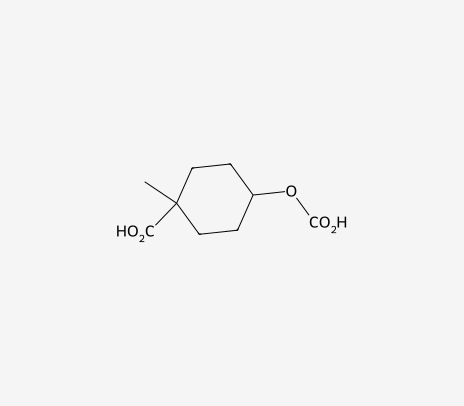 CC1(C(=O)O)CCC(OC(=O)O)CC1